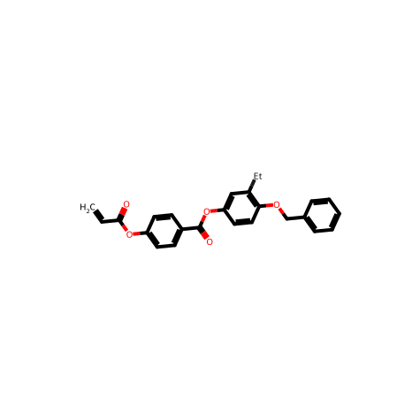 C=CC(=O)Oc1ccc(C(=O)Oc2ccc(OCc3ccccc3)c(CC)c2)cc1